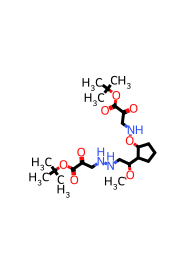 COC(CNNCC(=O)C(=O)OC(C)(C)C)C1CCCC1ONCC(=O)C(=O)OC(C)(C)C